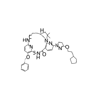 CC1(C)C[C@@H]2CCCNc3ccc(OCc4ccccc4)c(n3)SNC(=O)c3ccc(-n4ccc(OCCC5CCCC5)n4)nc3N1C2